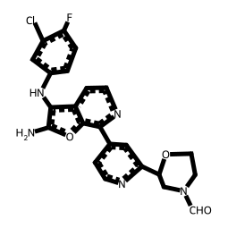 Nc1oc2c(-c3ccnc(C4CN(C=O)CCO4)c3)nccc2c1Nc1ccc(F)c(Cl)c1